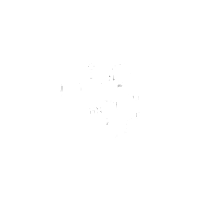 O=C(CN1CCC[C@@H]1C(=O)c1c[nH]c2cccc(F)c12)c1ccccc1